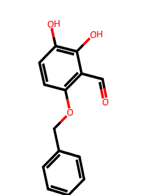 O=Cc1c(OCc2ccccc2)ccc(O)c1O